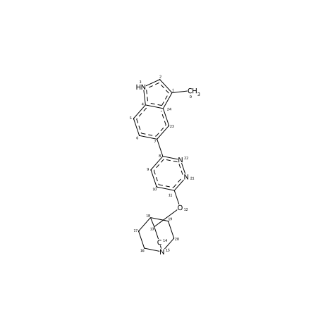 Cc1c[nH]c2ccc(-c3ccc(OC4CN5CCC4CC5)nn3)cc12